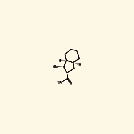 CC(C)(C)C(=O)[C@@H]1C[C@@H]2CCCC[C@@H]2N1C(C)(C)C